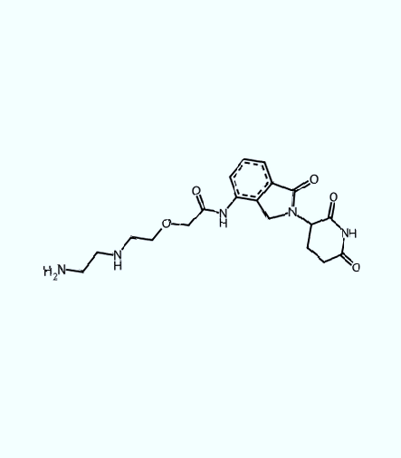 NCCNCCOCC(=O)Nc1cccc2c1CN(C1CCC(=O)NC1=O)C2=O